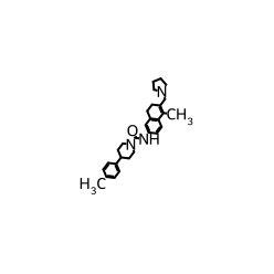 CC1=C(CN2CCCC2)CCc2cc(NC(=O)N3CCC(c4ccc(C)cc4)CC3)ccc21